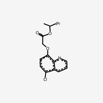 CC(C)C(C)OC(=O)COc1ccc(Cl)c2cccnc12